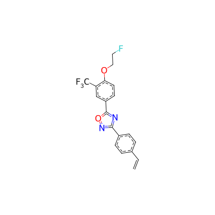 C=Cc1ccc(-c2noc(-c3ccc(OCCF)c(C(F)(F)F)c3)n2)cc1